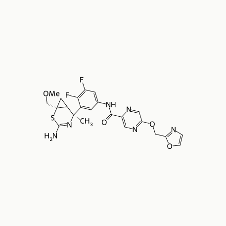 COC[C@]12CC1[C@@](C)(c1cc(NC(=O)c3cnc(OCc4ncco4)cn3)cc(F)c1F)N=C(N)S2